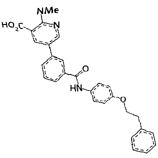 CNc1ncc(-c2cccc(C(=O)Nc3ccc(OCCc4ccccc4)cc3)c2)cc1C(=O)O